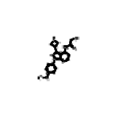 O=C(CO)Nc1ccnc2c1c(C1CNC1)nn2-c1ccc(OC(F)(F)F)cc1